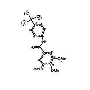 COc1cc(C(=O)Nc2ccc(C(O)(C(F)(F)F)C(F)(F)F)cc2)cc(OC)c1OC